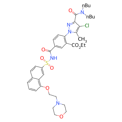 CCCCN(CCCC)C(=O)c1nn(-c2ccc(C(=O)NS(=O)(=O)c3ccc4cccc(OCCN5CCOCC5)c4c3)cc2C(=O)OCC)c(C)c1Cl